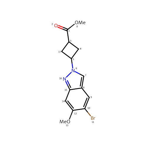 COC(=O)C1CC(n2cc3cc(Br)c(OC)cc3n2)C1